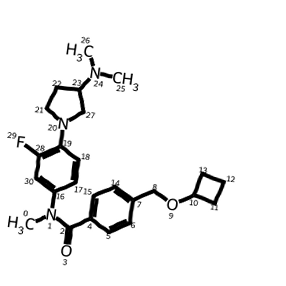 CN(C(=O)c1ccc(COC2CCC2)cc1)c1ccc(N2CCC(N(C)C)C2)c(F)c1